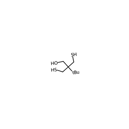 CC(C)(C)C(CO)(CS)CS